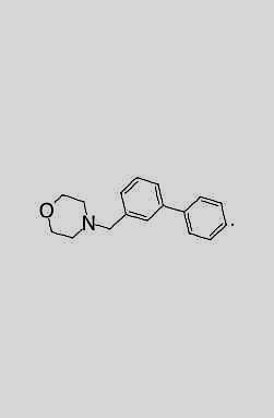 [c]1ccc(-c2cccc(CN3CCOCC3)c2)cc1